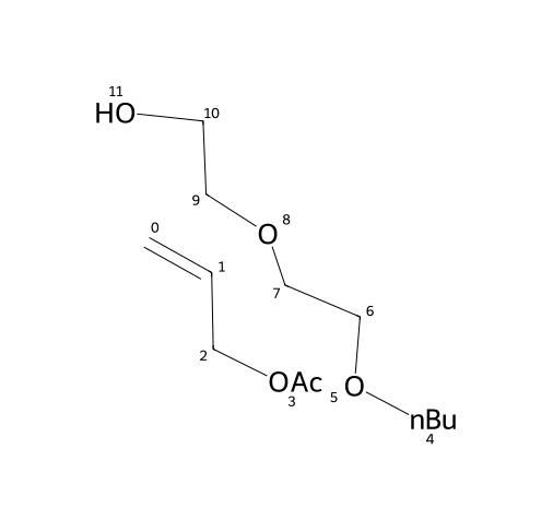 C=CCOC(C)=O.CCCCOCCOCCO